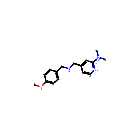 COc1ccc(CNCc2ccnc(N(C)C)c2)cc1